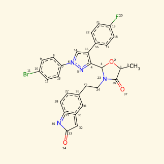 CC1OC(c2nn(-c3ccc(Br)cc3)cc2-c2ccc(F)cc2)N(CCc2ccc3c(c2)=CC(=O)N=3)C1=O